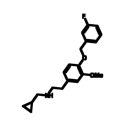 COc1cc(CCNCC2CC2)ccc1OCc1cccc(F)c1